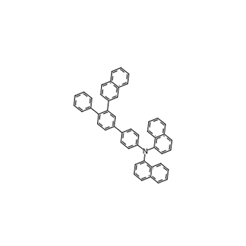 c1ccc(-c2ccc(-c3ccc(N(c4cccc5ccccc45)c4cccc5ccccc45)cc3)cc2-c2ccc3ccccc3c2)cc1